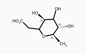 C[C@H]1OC(CC(=O)O)[C@@H](O)C(O)[C@@H]1O